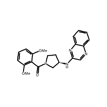 COc1cccc(OC)c1C(=O)N1CC[C@@H](Nc2cnc3ccccc3n2)C1